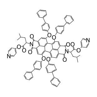 CC(C)CC(C(=O)Oc1ccncc1)N1C(=O)c2cc(Oc3ccc(-c4ccccc4)cc3)c3c4c(Oc5ccc(-c6ccccc6)cc5)cc5c6c(cc(Oc7ccc(-c8ccccc8)cc7)c(c7c(Oc8ccc(-c9ccccc9)cc8)cc(c2c37)C1=O)c64)C(=O)N(C(CC(C)C)C(=O)Oc1ccncc1)C5=O